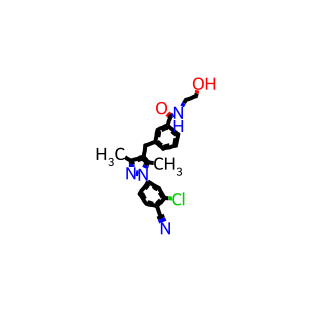 Cc1nn(-c2ccc(C#N)c(Cl)c2)c(C)c1Cc1cccc(C(=O)NCCO)c1